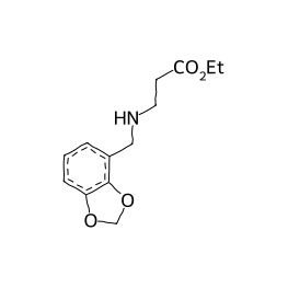 CCOC(=O)CCNCc1cccc2c1OCO2